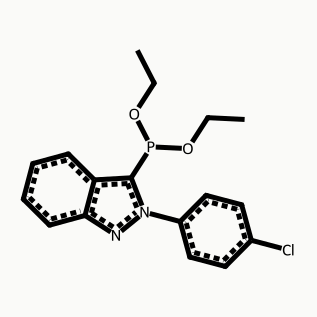 CCOP(OCC)c1c2ccccc2nn1-c1ccc(Cl)cc1